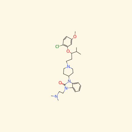 COc1ccc(Cl)c(OC(CCN2CCC(n3c(=O)n(CCN(C)C)c4ccccc43)CC2)C(C)C)c1